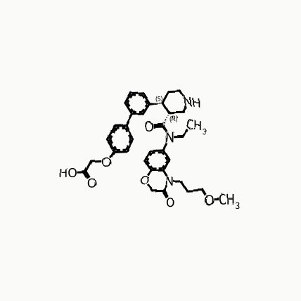 CCN(C(=O)[C@H]1CNCC[C@@H]1c1cccc(-c2ccc(OCC(=O)O)cc2)c1)c1ccc2c(c1)N(CCCOC)C(=O)CO2